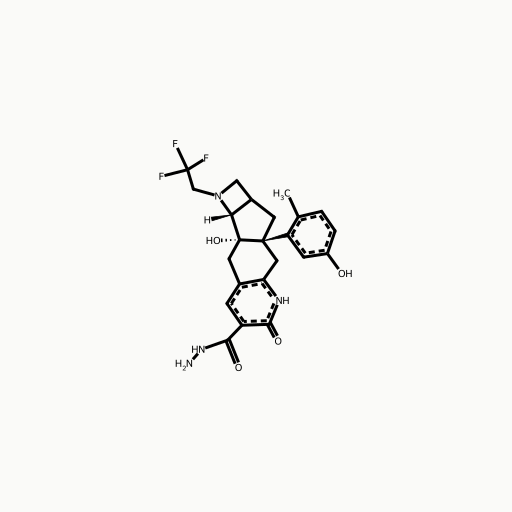 Cc1ccc(O)cc1[C@@]12Cc3[nH]c(=O)c(C(=O)NN)cc3C[C@@]1(O)[C@H]1C(CN1CC(F)(F)F)C2